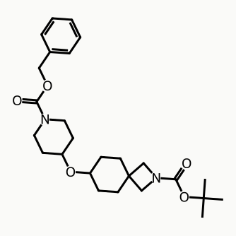 CC(C)(C)OC(=O)N1CC2(CCC(OC3CCN(C(=O)OCc4ccccc4)CC3)CC2)C1